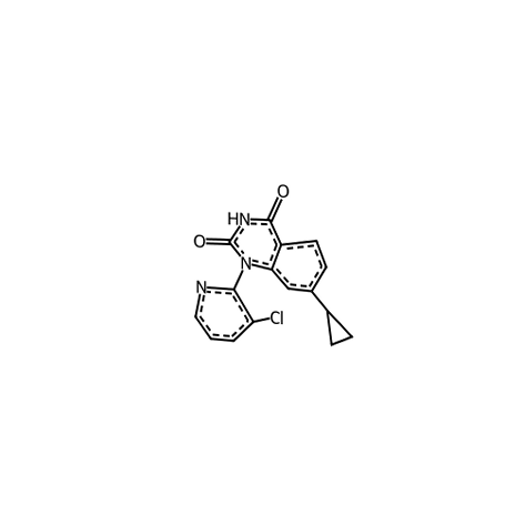 O=c1[nH]c(=O)n(-c2ncccc2Cl)c2cc(C3CC3)ccc12